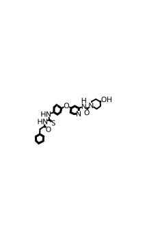 O=C(Cc1ccccc1)NC(=S)Nc1ccc(Oc2ccnc(NC(=O)N3CCC(O)CC3)c2)cc1